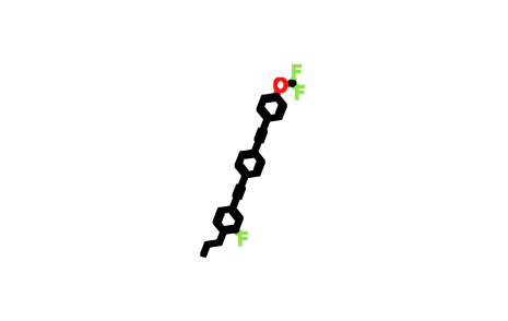 CCCc1ccc(C#Cc2ccc(C#Cc3ccc(OC(F)F)cc3)cc2)cc1F